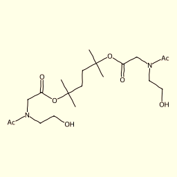 CC(=O)N(CCO)CC(=O)OC(C)(C)CCC(C)(C)OC(=O)CN(CCO)C(C)=O